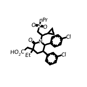 CCCS(=O)(=O)CC(C1CC1)N1C(=O)C(CC)(CC(=O)O)CC(c2cccc(Cl)c2)C1c1ccc(Cl)cc1